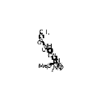 COCCn1c(-c2nonc2N)nc2cnc(Oc3cccc(C(=O)NCCC(=O)N4CCN(C)CC4)c3)cc21